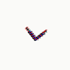 CC[n+]1ccccc1F.CC[n+]1ccccc1F.CC[n+]1ccccc1F.CC[n+]1ccccc1F.CC[n+]1ccccc1F.CC[n+]1ccccc1F.CC[n+]1ccccc1F.CC[n+]1ccccc1F.[O-]B([O-])F.[O-]B([O-])F.[O-]B([O-])F.[O-]B([O-])F